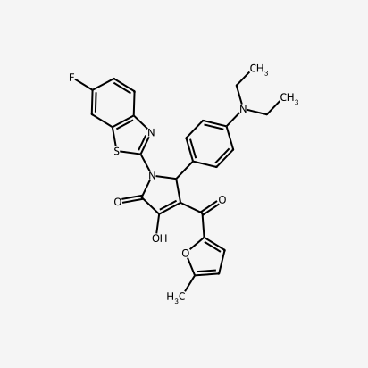 CCN(CC)c1ccc(C2C(C(=O)c3ccc(C)o3)=C(O)C(=O)N2c2nc3ccc(F)cc3s2)cc1